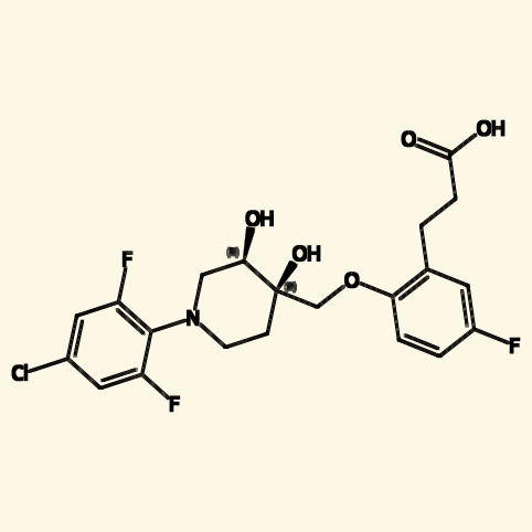 O=C(O)CCc1cc(F)ccc1OC[C@]1(O)CCN(c2c(F)cc(Cl)cc2F)C[C@H]1O